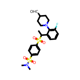 CC(c1cccc(F)c1N1CCC(C=O)CC1)S(=O)(=O)c1ccc(S(=O)(=O)N(C)C)cc1